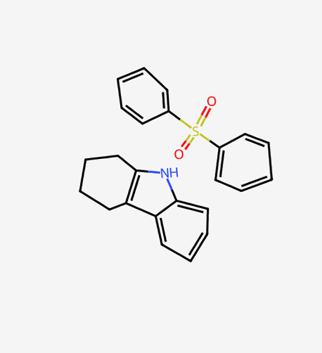 O=S(=O)(c1ccccc1)c1ccccc1.c1ccc2c3c([nH]c2c1)CCCC3